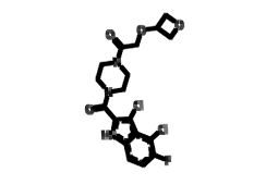 O=C(COC1COC1)N1CCN(C(=O)c2[nH]c3ccc(F)c(Cl)c3c2Cl)CC1